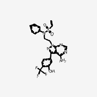 C=CS(=O)(=O)N(CCn1nc(-c2ccc(C(F)(F)F)c(O)c2)c2c(N)ncnc21)c1ccccc1